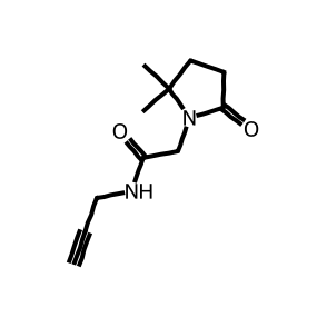 C#CCNC(=O)CN1C(=O)CCC1(C)C